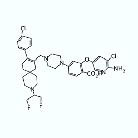 Nc1ncc(Oc2cc(N3CCN(CC4=C(c5ccc(Cl)cc5)CCC5(CCN(C(CF)CF)CC5)C4)CC3)ccc2C(=O)O)cc1Cl